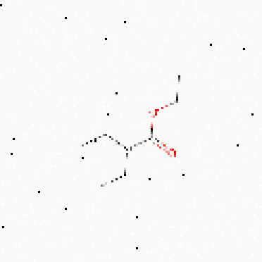 CCOC(=O)[C](CC)CC